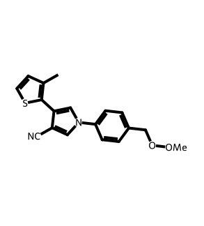 COOCc1ccc(-n2cc(C#N)c(-c3sccc3C)c2)cc1